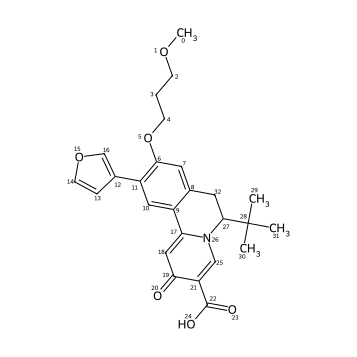 COCCCOc1cc2c(cc1-c1ccoc1)-c1cc(=O)c(C(=O)O)cn1C(C(C)(C)C)C2